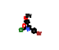 CC(C)Oc1ccc(C2CC(c3ccc(Br)cc3)=NN2C(=O)CCl)cc1